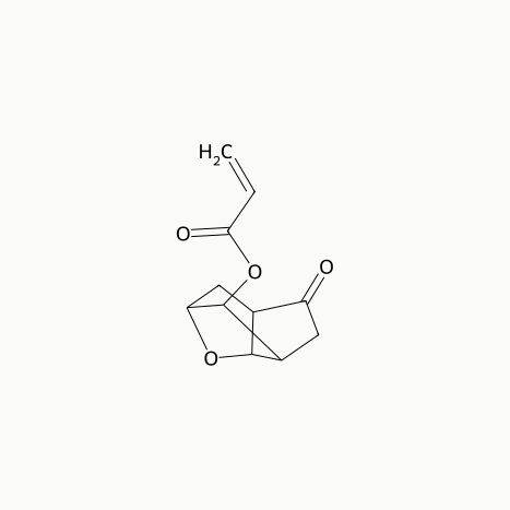 C=CC(=O)OC1C2CC3C(=O)CC1C3O2